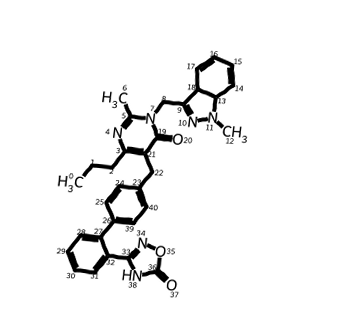 CCCc1nc(C)n(CC2=NN(C)C3C=CC=CC23)c(=O)c1Cc1ccc(-c2ccccc2-c2noc(=O)[nH]2)cc1